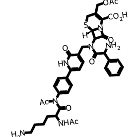 CC(=O)NC(CCCCN)C(=O)N(C(C)=O)c1ccc(-c2ccc(CN(C(=O)C(N)c3ccccc3)C3C(=O)N4C(C(=O)O)=C(COC(C)=O)CS[C@@H]34)c(=O)[nH]2)cc1